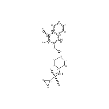 Cc1c(CO[C@H]2CC[C@H](NS(=O)(=O)C3CC3)CC2)[nH]c2ccccc2c1=O